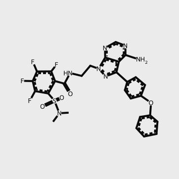 CN(C)S(=O)(=O)c1c(F)c(F)c(F)c(F)c1C(=O)NCCn1nc(-c2ccc(Oc3ccccc3)cc2)c2c(N)ncnc21